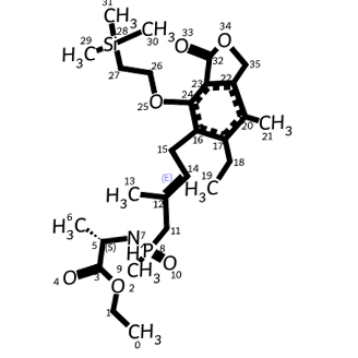 CCOC(=O)[C@H](C)NP(C)(=O)C/C(C)=C/Cc1c(CC)c(C)c2c(c1OCC[Si](C)(C)C)C(=O)OC2